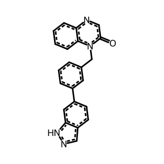 O=c1cnc2ccccc2n1Cc1cccc(-c2ccc3cn[nH]c3c2)c1